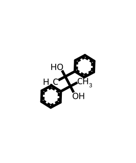 CC(O)(c1ccccc1)C(C)(O)c1ccccc1